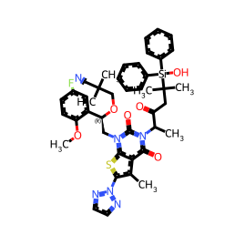 COc1ccc(F)cc1[C@H](Cn1c(=O)n(C(C)C(=O)CC(C)(C)[Si](O)(c2ccccc2)c2ccccc2)c(=O)c2c(C)c(-n3nccn3)sc21)OCC(C)(C)C#N